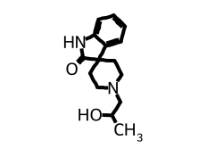 CC(O)CN1CCC2(CC1)C(=O)Nc1ccccc12